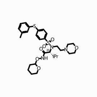 Cc1cccc(Sc2ccc(S(=O)(=O)N(CCN3CCOCC3)[C@@H](C(=O)NOC3CCCCO3)C(C)C)cc2)c1